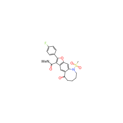 CNC(=O)c1c(-c2ccc(F)cc2)oc2cc3c(cc12)C(=O)CCCCN3S(C)(=O)=O